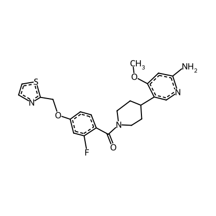 COc1cc(N)ncc1C1CCN(C(=O)c2ccc(OCc3nccs3)cc2F)CC1